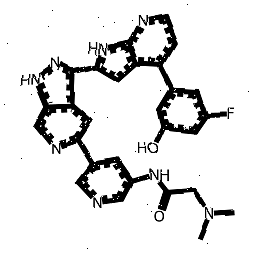 CN(C)CC(=O)Nc1cncc(-c2cc3c(-c4cc5c(-c6cc(O)cc(F)c6)ccnc5[nH]4)n[nH]c3cn2)c1